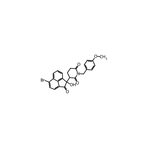 COc1ccc(CN2C(=O)CCC(C3(O)C(=O)c4ccc(Br)c5cccc3c45)C2=O)cc1